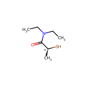 CCN(CC)C(=O)[C@H](C)S